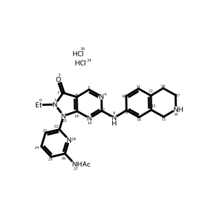 CCn1c(=O)c2cnc(Nc3ccc4c(c3)CNCC4)nc2n1-c1cccc(NC(C)=O)n1.Cl.Cl